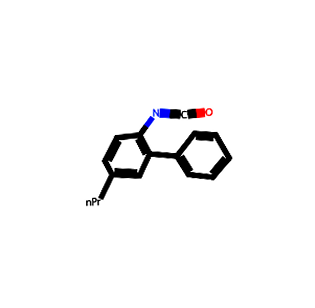 CCCc1ccc(N=C=O)c(-c2ccccc2)c1